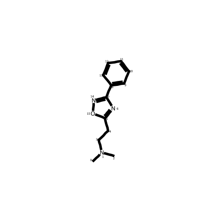 CN(C)CCc1nc(-c2ccccc2)no1